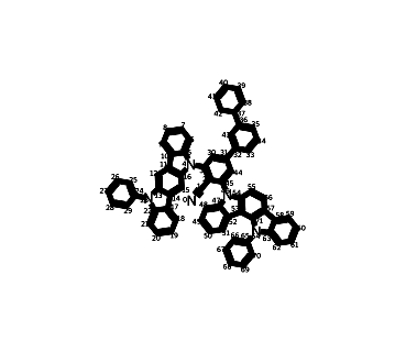 N#Cc1c(-n2c3ccccc3c3cc4c(cc32)c2ccccc2n4-c2ccccc2)cc(-c2cccc(C3C=CC=CC3)c2)cc1-n1c2ccccc2c2c1ccc1c3ccccc3n(-c3ccccc3)c12